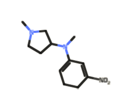 CN1CCC(N(C)C2=CC[CH]C([N+](=O)[O-])=C2)C1